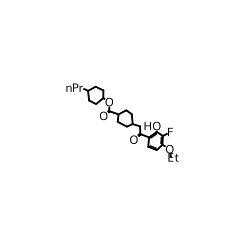 CCCC1CCC(OC(=O)C2CCC(CC(=O)c3ccc(OCC)c(F)c3O)CC2)CC1